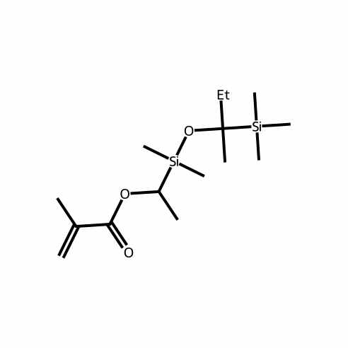 C=C(C)C(=O)OC(C)[Si](C)(C)OC(C)(CC)[Si](C)(C)C